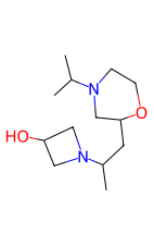 CC(C)N1CCOC(CC(C)N2CC(O)C2)C1